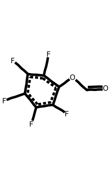 O=COc1c(F)c(F)c(F)c(F)c1F